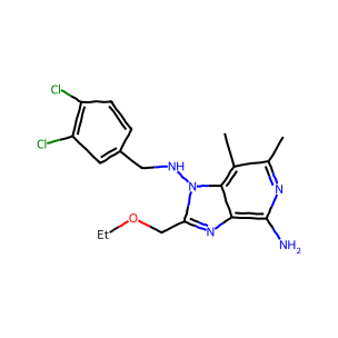 CCOCc1nc2c(N)nc(C)c(C)c2n1NCc1ccc(Cl)c(Cl)c1